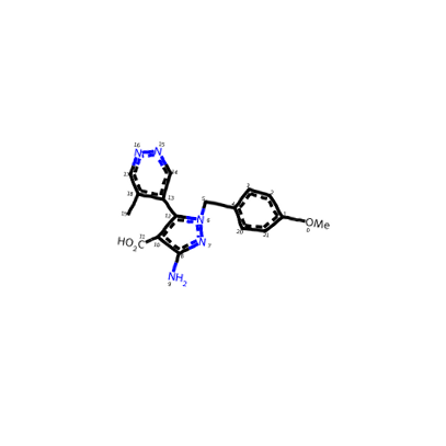 COc1ccc(Cn2nc(N)c(C(=O)O)c2-c2cnncc2C)cc1